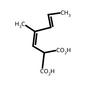 CC=CC(C)=CC(C(=O)O)C(=O)O